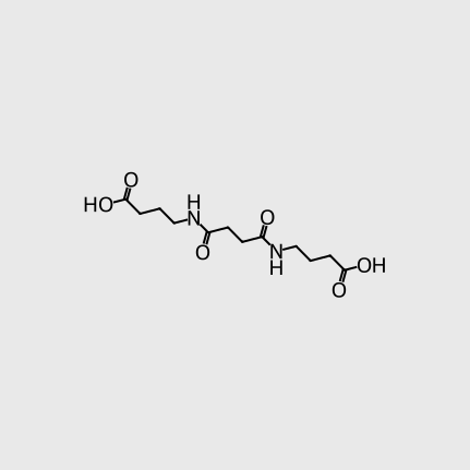 O=C(O)CCCNC(=O)CCC(=O)NCCCC(=O)O